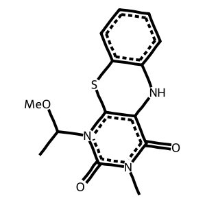 COC(C)n1c2c(c(=O)n(C)c1=O)Nc1ccccc1S2